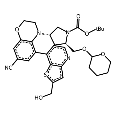 CC(C)(C)OC(=O)N1C[C@@H](N2CCOc3cc(C#N)cc(-c4ccnc5cc(CO)sc45)c32)C[C@@H]1COC1CCCCO1